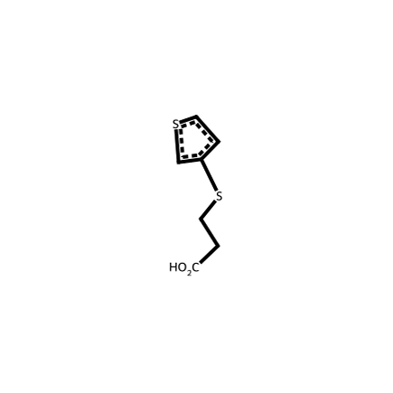 O=C(O)CCSc1ccsc1